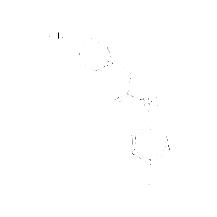 O=C(Cc1ccc(Cl)nc1)Nc1ccc(F)cc1